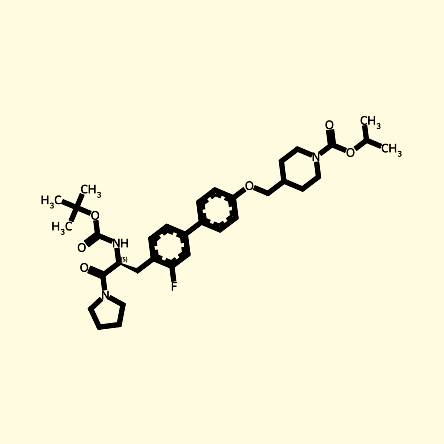 CC(C)OC(=O)N1CCC(COc2ccc(-c3ccc(C[C@H](NC(=O)OC(C)(C)C)C(=O)N4CCCC4)c(F)c3)cc2)CC1